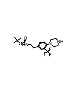 CC(C)(C)OC(=O)NCCc1ccc(N2CCNCC2)c(C(F)(F)F)c1